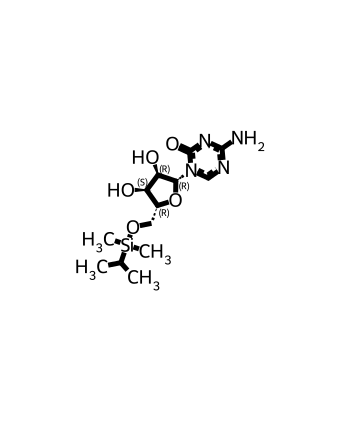 CC(C)[Si](C)(C)OC[C@H]1O[C@@H](n2cnc(N)nc2=O)[C@H](O)[C@@H]1O